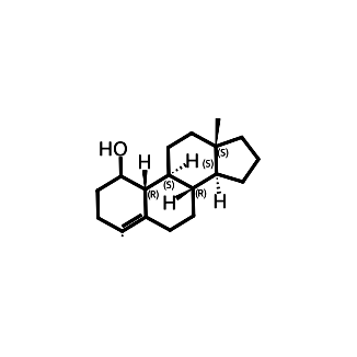 C[C@@]12CCC[C@H]1[C@@H]1CCC3=[C]CCC(O)[C@@H]3[C@H]1CC2